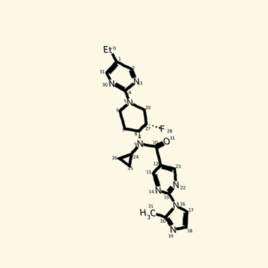 CCc1cnc(N2CC[C@@H](N(C(=O)c3cnc(-n4ccnc4C)nc3)C3CC3)[C@@H](F)C2)nc1